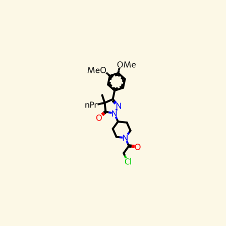 CCCC1(C)C(=O)N(C2CCN(C(=O)CCl)CC2)N=C1c1ccc(OC)c(OC)c1